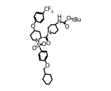 CC(C)(C)OC(=O)NC1CCN(C(=O)[C@@H]2C[C@H](Oc3ccc(C(F)(F)F)cc3)CCN2S(=O)(=O)c2ccc(OCC3CCCCC3)cc2)CC1